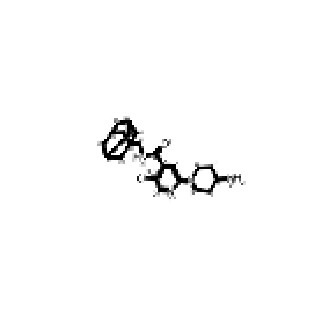 NC1CCN(c2cc(C(=O)NCC34CC5CC(CC(C5)C3)C4)c(Cl)cn2)CC1